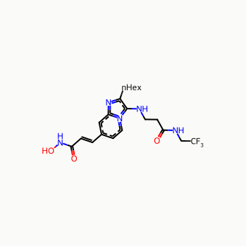 CCCCCCc1nc2cc(C=CC(=O)NO)ccn2c1NCCC(=O)NCC(F)(F)F